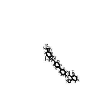 Fc1cccc(Cl)c1-c1nc2cc(-c3ccc(-c4nc5cc(C(F)(F)F)ccc5[nH]4)cc3)ccc2[nH]1